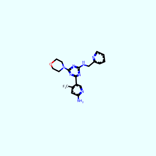 Nc1cc(C(F)(F)F)c(-c2nc(NCc3ccccn3)nc(N3CCOCC3)n2)cn1